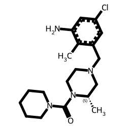 Cc1c(N)cc(Cl)cc1CN1CCN(C(=O)N2CCCCC2)[C@@H](C)C1